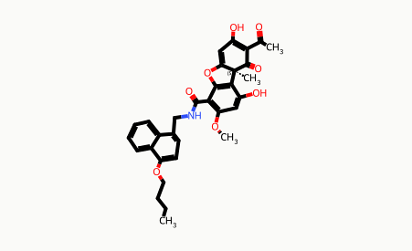 CCCCOc1ccc(CNC(=O)c2c(OC)cc(O)c3c2OC2=CC(O)=C(C(C)=O)C(=O)[C@]23C)c2ccccc12